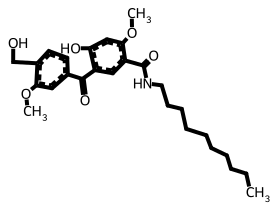 CCCCCCCCCCNC(=O)c1cc(C(=O)c2ccc(CO)c(OC)c2)c(O)cc1OC